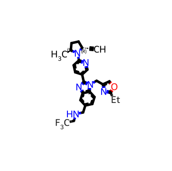 C#C[C@H]1CC[C@H](C)N1c1ccc(-c2nc3cc(CNCC(F)(F)F)ccc3n2Cc2coc(CC)n2)cn1